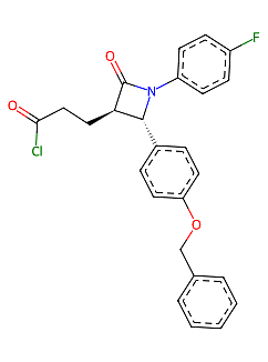 O=C(Cl)CC[C@H]1C(=O)N(c2ccc(F)cc2)[C@@H]1c1ccc(OCc2ccccc2)cc1